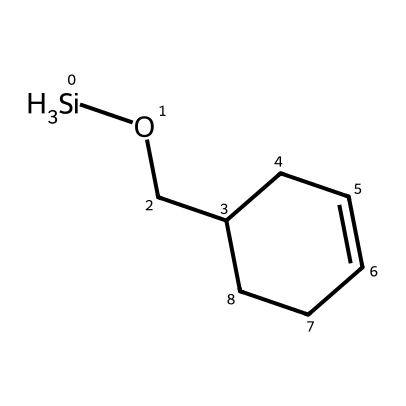 [SiH3]OCC1CC=CCC1